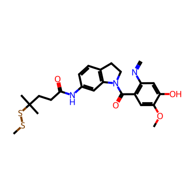 C=Nc1cc(O)c(OC)cc1C(=O)N1CCc2ccc(NC(=O)CCC(C)(C)SSC)cc21